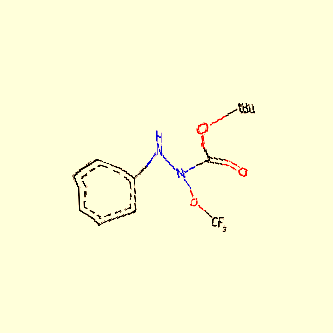 CC(C)(C)OC(=O)N(Nc1ccccc1)OC(F)(F)F